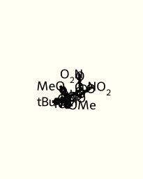 COc1ccc(-c2nc(NS(=O)(=O)c3ccc(C(C)(C)C)cn3)c(Oc3ccccc3OC)c(OCC(COC(=O)OCCCCO[N+](=O)[O-])OC(=O)OCCCCO[N+](=O)[O-])n2)cc1